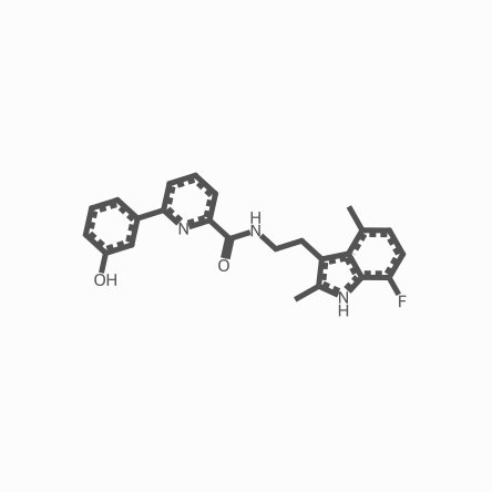 Cc1[nH]c2c(F)ccc(C)c2c1CCNC(=O)c1cccc(-c2cccc(O)c2)n1